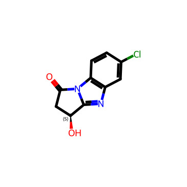 O=C1C[C@H](O)c2nc3cc(Cl)ccc3n21